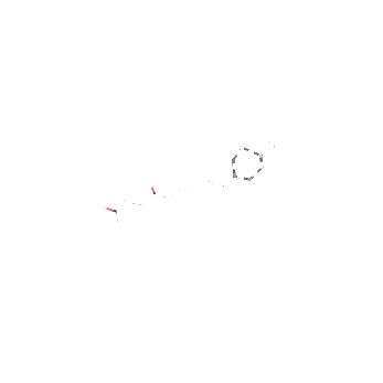 CC(C)(C)OC(=O)NCC(=O)NCOCCc1ccc([N+](=O)[O-])cc1Cl